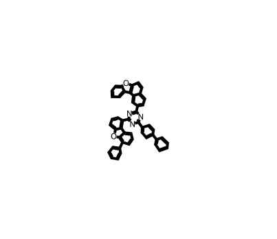 c1ccc(-c2ccc(-c3nc(-c4ccc5ccc6oc7ccccc7c6c5c4)nc(-c4cccc5oc6c(-c7ccccc7)cccc6c45)n3)cc2)cc1